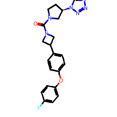 O=C(N1CC(c2ccc(Oc3ccc(F)cc3)cc2)C1)N1CC[C@@H](n2cnnn2)C1